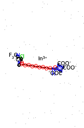 CN(C(=O)c1ccc(Cl)c(-c2cnc(C(F)(F)F)cc2C#N)c1)c1ccccc1OCCOCCOCCOCCOCCOCCOCCOCCOCCNC(=O)CN1CCN(CC(=O)[O-])CCN(CC(=O)[O-])CCN(CC(=O)[O-])CC1.[In+3]